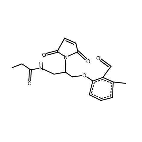 CCC(=O)NCC(COc1cccc(C)c1C=O)N1C(=O)C=CC1=O